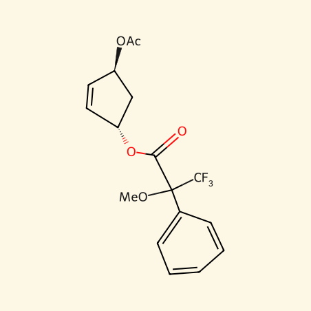 COC(C(=O)O[C@@H]1C=C[C@@H](OC(C)=O)C1)(c1ccccc1)C(F)(F)F